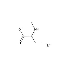 CCC(NC)C(=O)[O-].[Li+]